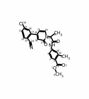 COC(=O)c1ccc(NC(=O)C(C)n2ccc(-c3cc(Cl)ccc3C#N)cc2=O)cc1C